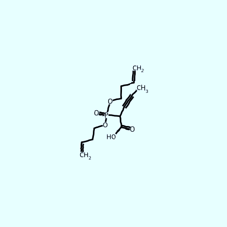 C=CCCOP(=O)(OCCC=C)C(C#CC)C(=O)O